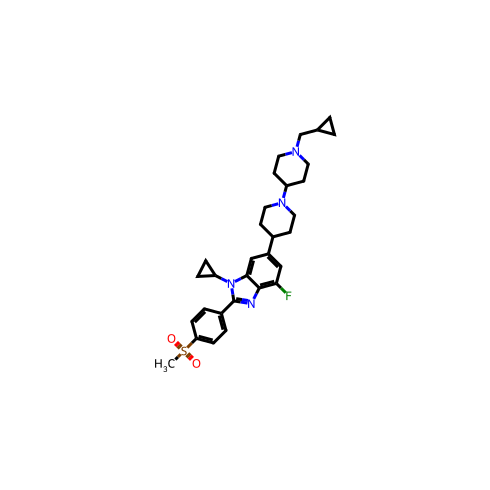 CS(=O)(=O)c1ccc(-c2nc3c(F)cc(C4CCN(C5CCN(CC6CC6)CC5)CC4)cc3n2C2CC2)cc1